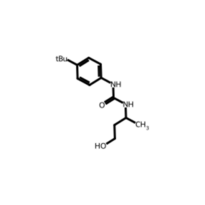 CC(CCO)NC(=O)Nc1ccc(C(C)(C)C)cc1